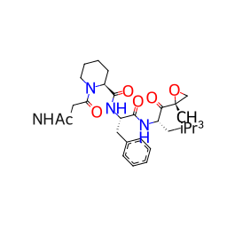 CC(=O)NCC(=O)N1CCCC[C@H]1C(=O)N[C@@H](Cc1ccccc1)C(=O)N[C@@H](CC(C)C)C(=O)[C@@]1(C)CO1